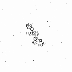 Cc1ccc(NCC(C)(C)c2ccc3c(c2)OC(F)(F)O3)nc1-c1ccc(C(=O)O)s1